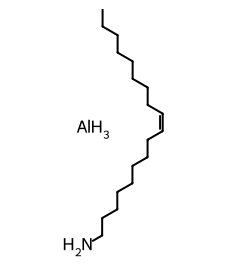 CCCCCCCC/C=C\CCCCCCCCN.[AlH3]